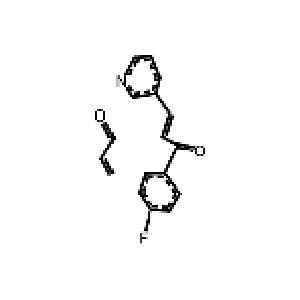 C=CC=O.O=C(/C=C/c1cccnc1)c1ccc(F)cc1